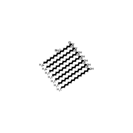 CCCCCCCCCCCCCCCCCC(=O)O.CCCCCCCCCCCCCCCCCC(=O)O.CCCCCCCCCCCCCCCCCC(=O)O.CCCCCCCCCCCCCCCCCC(=O)O.CCCCCCCCCCCCCCCCCC(=O)O.CCCCCCCCCCCCCCCCCC(=O)[O-].CCCCCCCCCCCCCCCCCC(=O)[O-].[Mg+2]